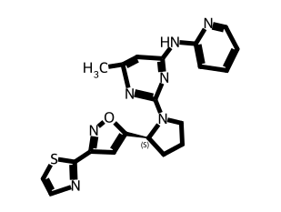 Cc1cc(Nc2ccccn2)nc(N2CCC[C@H]2c2cc(-c3nccs3)no2)n1